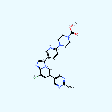 COc1ncc(-c2cc(Cl)c3ncc(-c4ccc(N5CCN(C(=O)OC(C)(C)C)CC5)nc4)n3c2)cn1